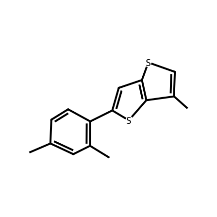 Cc1ccc(-c2cc3scc(C)c3s2)c(C)c1